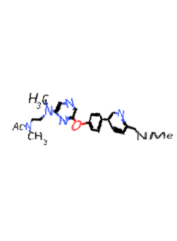 CNCc1ccc(-c2ccc(Oc3cncc(N(C)CCN(C)C(C)=O)n3)cc2)cn1